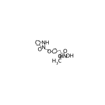 CCOC(Cc1ccc(OCCN2CNc3ccccc3C2=O)cc1)C(=O)NO